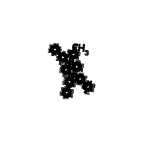 Cc1ccc2c(c1)-c1cc(-c3ccccc3)ccc1N1B2c2cccc3c2-c2c1cccc2N1B3c2ccc(-c3ccccc3)cc2-c2cc(-c3ccccc3)ccc21